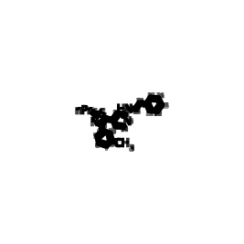 CCCc1nc(-c2cccc(C)c2)c(-c2ccnc(NCCc3ccccc3)c2)s1